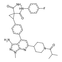 CC(C)C(=O)N1CCC(c2cc(-c3ccc(C4CC4(C(N)=O)C(=O)Nc4ccc(F)cc4)cc3)c3c(N)nn(C)c3n2)CC1